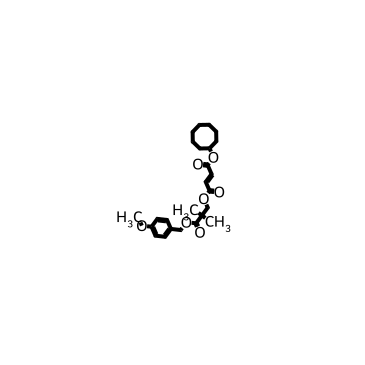 COc1ccc(COC(=O)C(C)(C)COC(=O)/C=C/C(=O)OC2CCCCCCC2)cc1